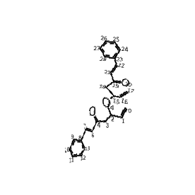 C=CC(CC(=O)C=Cc1ccccc1)OC(C=C)CC(=O)C=Cc1ccccc1